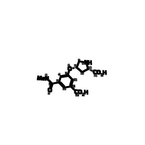 CNC(=O)c1cc(O[C@@H]2CN[C@H](C(=O)O)C2)cc(C(=O)O)c1